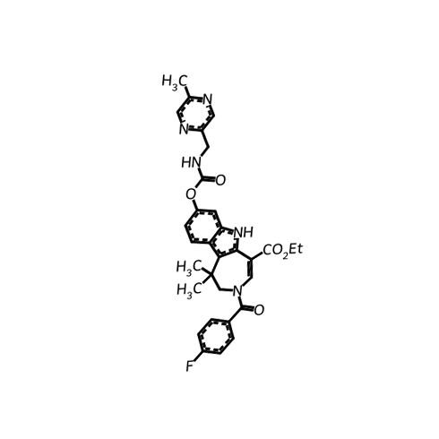 CCOC(=O)C1=CN(C(=O)c2ccc(F)cc2)CC(C)(C)c2c1[nH]c1cc(OC(=O)NCc3cnc(C)cn3)ccc21